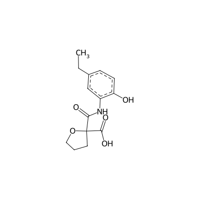 CCc1ccc(O)c(NC(=O)C2(C(=O)O)CCCO2)c1